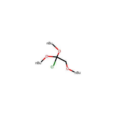 CCCCOCC(Cl)(OCCCC)OCCCC